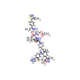 CC(=O)O[C@@H]1C[C@@H](C(=O)N[C@@H](C)c2ccc(-c3scnc3C)cc2)N(C(=O)[C@@H](NC(=O)CN2CCC(CCN(c3ccc(-n4ccnc4)c(Br)c3)c3cc(-c4c(C)noc4C)ccc3C)CC2)C(C)(C)C)C1